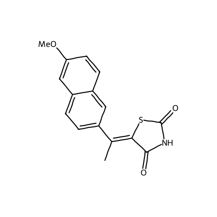 COc1ccc2cc(C(C)=C3SC(=O)NC3=O)ccc2c1